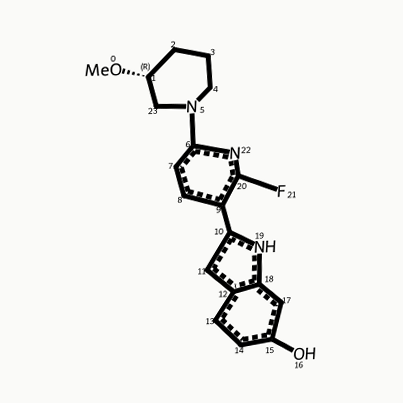 CO[C@@H]1CCCN(c2ccc(-c3cc4ccc(O)cc4[nH]3)c(F)n2)C1